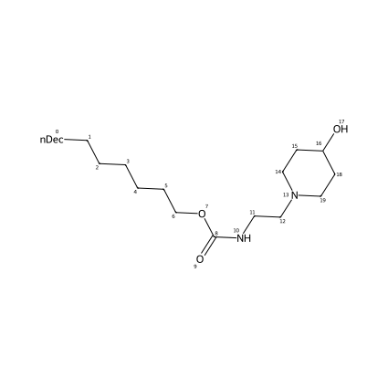 CCCCCCCCCCCCCCCCOC(=O)NCCN1CCC(O)CC1